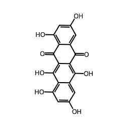 O=C1c2cc(O)cc(O)c2C(=O)c2c1c(O)c1cc(O)cc(O)c1c2O